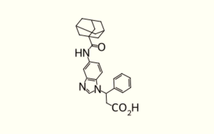 O=C(O)CC(c1ccccc1)n1cnc2cc(NC(=O)C34CC5CC(CC(C5)C3)C4)ccc21